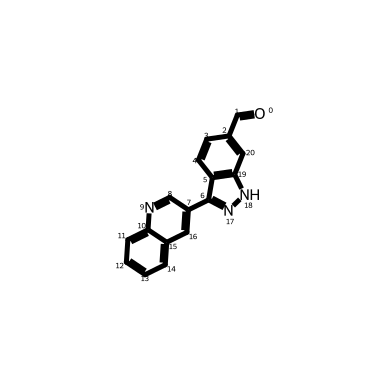 O=Cc1ccc2c(-c3cnc4ccccc4c3)n[nH]c2c1